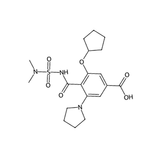 CN(C)S(=O)(=O)NC(=O)c1c(OC2CCCC2)cc(C(=O)O)cc1N1CCCC1